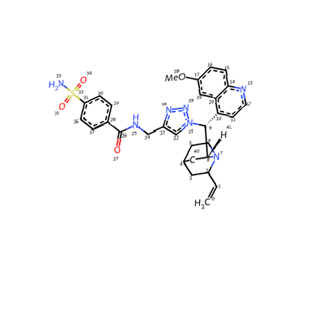 C=CC1CC2CCN1[C@@H]([C@@H](c1ccnc3ccc(OC)cc13)n1cc(CNC(=O)c3ccc(S(N)(=O)=O)cc3)nn1)C2